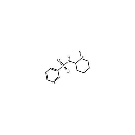 C[C@@H]1CCCCC1NS(=O)(=O)c1cccnc1